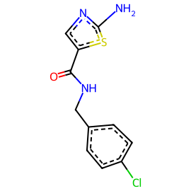 Nc1ncc(C(=O)NCc2ccc(Cl)cc2)s1